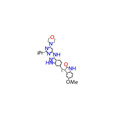 COc1ccc2c(c1)[C@]1(C[C@H]1c1ccc3c(Nc4cc(N5CCOCC5)nc(C(C)C)n4)n[nH]c3c1)C(=O)N2